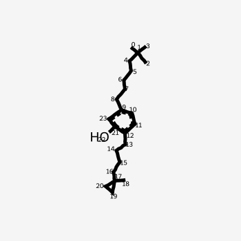 CC(C)(C)CCCCCc1ccc(CCCCC2(C)CC2)c(O)c1